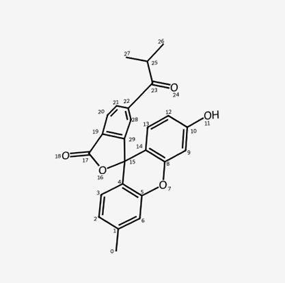 Cc1ccc2c(c1)Oc1cc(O)ccc1C21OC(=O)c2ccc(C(=O)C(C)C)cc21